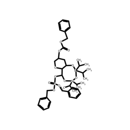 CC(C)[Si]1(C(C)C)OC2CC(OC(=O)OCc3ccccc3)COC2C(OP(=O)(OCc2ccccc2)OCc2ccccc2)O[Si](C(C)C)(C(C)C)O1